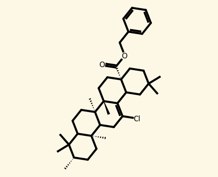 C[C@H]1CC[C@@]2(C)C(CC[C@]3(C)C2CC(Cl)=C2C4CC(C)(C)CC[C@]4(C(=O)OCc4ccccc4)CC[C@]23C)C1(C)C